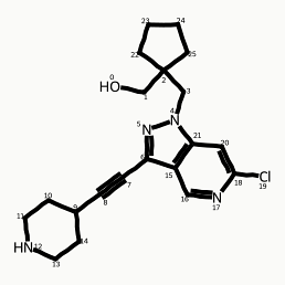 OCC1(Cn2nc(C#CC3CCNCC3)c3cnc(Cl)cc32)CCCC1